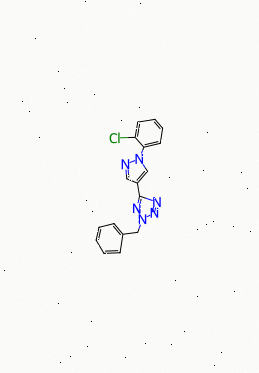 Clc1ccccc1-n1cc(-c2nnn(Cc3ccccc3)n2)cn1